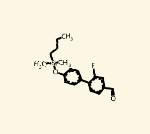 CCCC[Si](C)(C)Oc1ccc(-c2ccc(C=O)cc2F)cc1